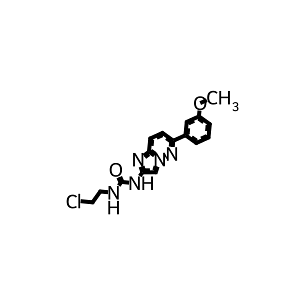 COc1cccc(-c2ccc3nc(NC(=O)NCCCl)cn3n2)c1